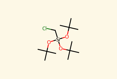 CC(C)(C)O[Si](CCl)(OC(C)(C)C)OC(C)(C)C